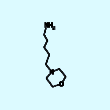 NCCCCCN1CCOCC1